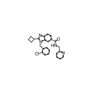 O=C(NCc1ccccn1)c1ccc2nc(C3CCC3)n(Cc3ccccc3Cl)c2c1